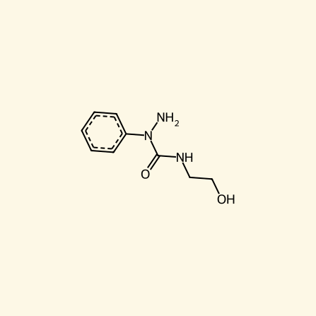 NN(C(=O)NCCO)c1ccccc1